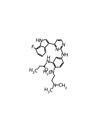 CCC(=O)Nc1cc(Nc2nccc(-c3c[nH]c4c(F)cccc34)n2)ccc1N(C)CCN(C)C